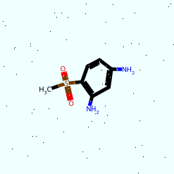 CS(=O)(=O)c1ccc(N)cc1N